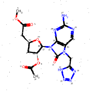 COC(=O)C[C@@H]1C[C@@H](OC(C)=O)[C@H](n2c(=O)n(Cc3nnn[nH]3)c3cnc(N)nc32)O1